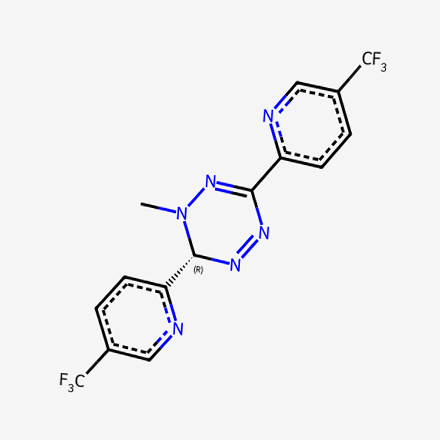 CN1N=C(c2ccc(C(F)(F)F)cn2)N=N[C@@H]1c1ccc(C(F)(F)F)cn1